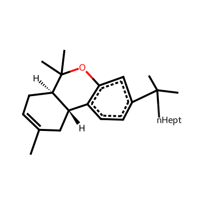 CCCCCCCC(C)(C)c1ccc2c(c1)OC(C)(C)[C@@H]1CC=C(C)C[C@@H]21